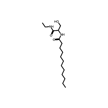 CCCCCCCCCCCC(=O)NC(CO)C(=O)NCC